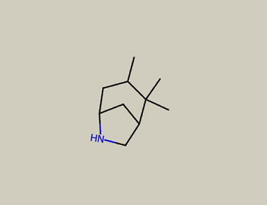 CC1CC2CC(CN2)C1(C)C